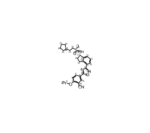 CC(C)Oc1ccc(-c2nc(-c3cccc4c3CC[C@@H]4NS(=O)(=O)CCN3CCCC3)no2)cc1C#N